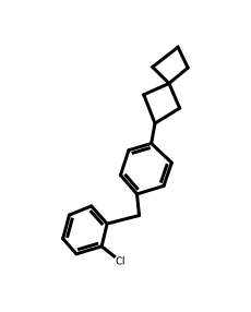 Clc1ccccc1Cc1ccc(C2CC3(CCC3)C2)cc1